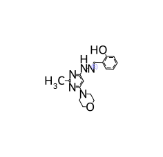 Cc1nc(N/N=C/c2ccccc2O)cc(N2CCOCC2)n1